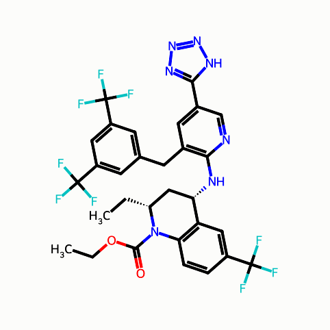 CCOC(=O)N1c2ccc(C(F)(F)F)cc2[C@@H](Nc2ncc(-c3nnn[nH]3)cc2Cc2cc(C(F)(F)F)cc(C(F)(F)F)c2)C[C@H]1CC